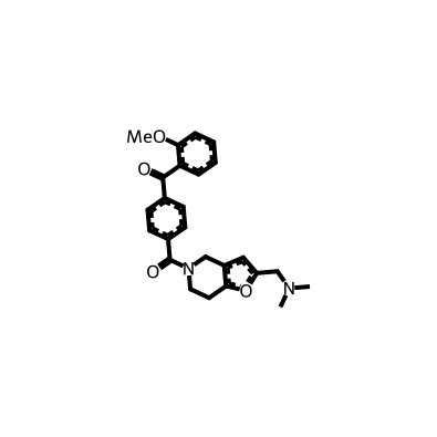 COc1ccccc1C(=O)c1ccc(C(=O)N2CCc3oc(CN(C)C)cc3C2)cc1